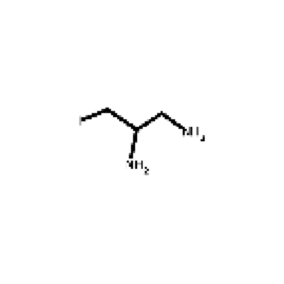 NCC(N)CI